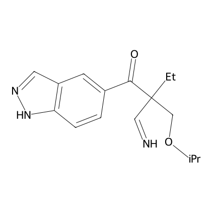 CCC(C=N)(COC(C)C)C(=O)c1ccc2[nH]ncc2c1